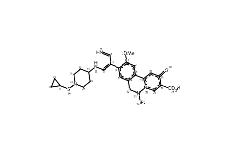 COc1cc2c(cc1/C(C=N)=C/NC1CCN(SC3CC3)CC1)CN(C(C)C)n1cc(C(=O)O)c(=O)cc1-2